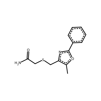 Cc1oc(-c2ccccc2)nc1CSCC(N)=O